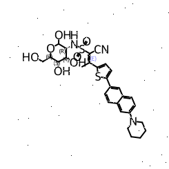 C/C(=C(/C#N)S(=O)(=O)N[C@H]1C(O)O[C@H](CO)[C@@H](O)[C@@H]1O)c1ccc(-c2ccc3cc(N4CCCCC4)ccc3c2)s1